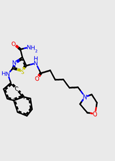 NC(=O)c1nc(Nc2ccc3ccccc3c2)sc1NC(=O)CCCCCN1CCOCC1